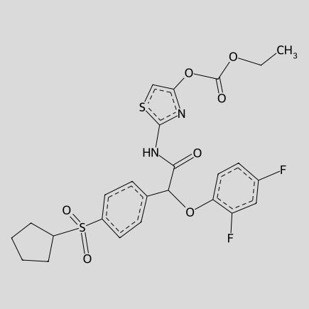 CCOC(=O)Oc1csc(NC(=O)C(Oc2ccc(F)cc2F)c2ccc(S(=O)(=O)C3CCCC3)cc2)n1